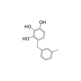 Cc1cccc(Cc2ccc(O)c(O)c2O)c1